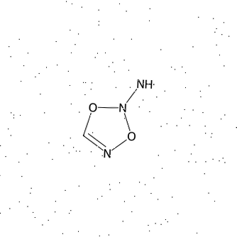 [NH]N1OC=NO1